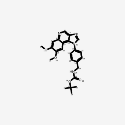 COc1cc2ncc3ncn(-c4ccc(CNC(=O)OC(C)(C)C)cc4)c3c2cc1OC